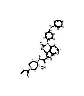 C=CC(=O)N1CC[C@@H](NC(=O)c2sc3nccc4c3c2NC(=O)N4c2ccc(Oc3ccccc3)cc2)[C@H](O)C1